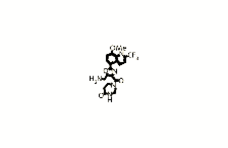 COc1ccc(-c2nc(C(=O)N3CCNC(=O)CC3)c(CN)o2)c2ccc(C(F)(F)F)nc12